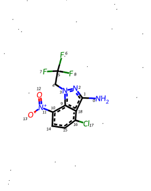 Nc1nn(CC(F)(F)F)c2c([N+](=O)[O-])ccc(Cl)c12